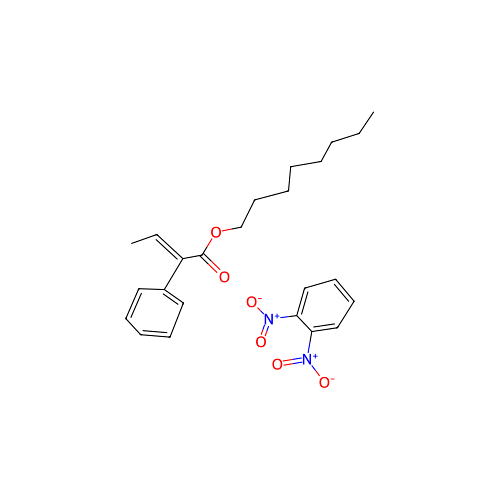 C/C=C(/C(=O)OCCCCCCCC)c1ccccc1.O=[N+]([O-])c1ccccc1[N+](=O)[O-]